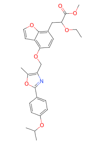 CCOC(Cc1ccc(OCc2nc(-c3ccc(OC(C)C)cc3)oc2C)c2ccoc12)C(=O)OC